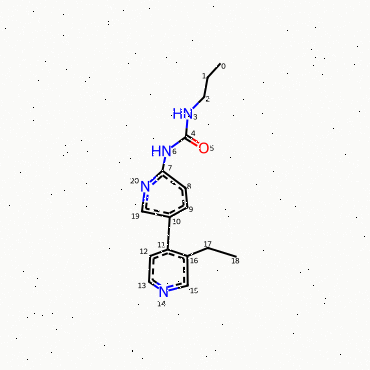 CCCNC(=O)Nc1ccc(-c2ccncc2CC)cn1